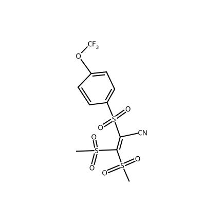 CS(=O)(=O)C(=C(C#N)S(=O)(=O)c1ccc(OC(F)(F)F)cc1)S(C)(=O)=O